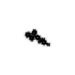 N#Cc1ccc(C(=O)Nc2ccc(N(c3ccncn3)c3cccc4c3oc3ccccc34)cc2)cc1